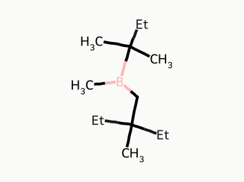 CCC(C)(CC)CB(C)C(C)(C)CC